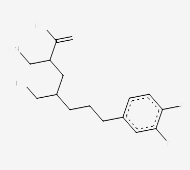 CCC(CCCc1ccc(F)c(F)c1)CC(CN)C(=O)O